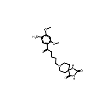 COc1cc(OC)c(C(=O)CCCCN2CCC3(CC2)NC(=O)NC3=O)cc1N